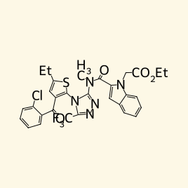 CCOC(=O)Cn1c(C(=O)N(C)c2nnc(C(F)(F)F)n2-c2sc(CC)cc2C(=O)c2ccccc2Cl)cc2ccccc21